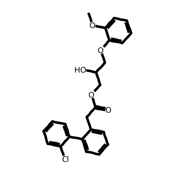 COc1ccccc1OCC(O)COC(=O)Cc1ccccc1-c1ccccc1Cl